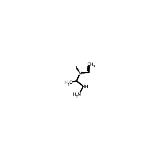 C=CN(I)C(C)NN